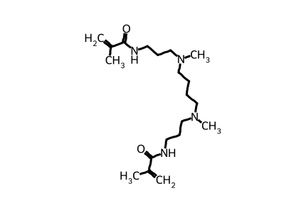 C=C(C)C(=O)NCCCN(C)CCCCN(C)CCCNC(=O)C(=C)C